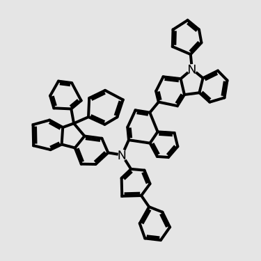 c1ccc(-c2ccc(N(c3ccc4c(c3)C(c3ccccc3)(c3ccccc3)c3ccccc3-4)c3ccc(-c4ccc5c(c4)c4ccccc4n5-c4ccccc4)c4ccccc34)cc2)cc1